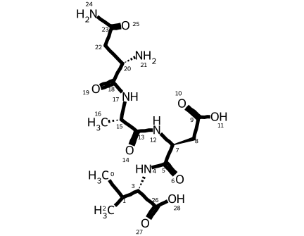 CC(C)[C@H](NC(=O)[C@H](CC(=O)O)NC(=O)[C@H](C)NC(=O)[C@@H](N)CC(N)=O)C(=O)O